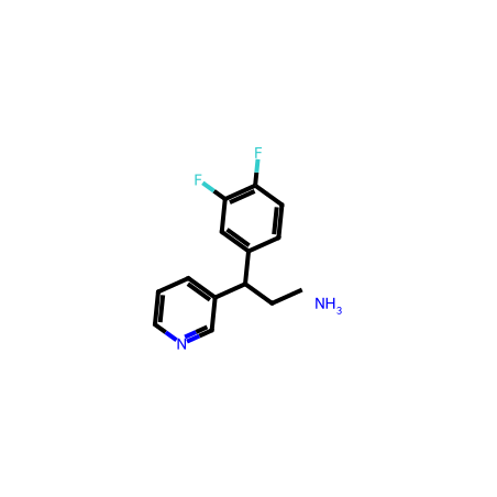 CCC(c1cccnc1)c1ccc(F)c(F)c1.N